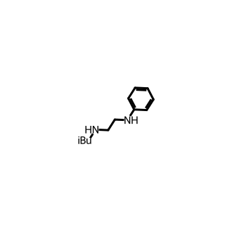 CCC(C)NCCNc1ccccc1